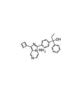 CCC(O)(c1ccccc1)c1ccc(C2=NC(C3=CC=C3)=C3C=NC=C[N+]23N)cc1